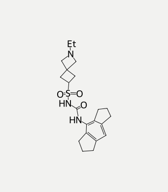 CCN1CC2(CC(S(=O)(=O)NC(=O)Nc3c4c(cc5c3CCC5)CCC4)C2)C1